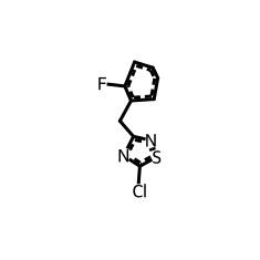 Fc1ccccc1Cc1nsc(Cl)n1